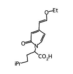 CCOC=Cc1ccn(C(CCC(C)C)C(=O)O)c(=O)c1